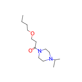 CCCCOCCC(=O)N1CCN(C(C)C)CC1